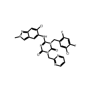 Cn1cc2cc(Nc3nc(=O)n(Cc4ncccn4)c(=O)n3Cc3cc(Cl)c(F)cc3F)c(Cl)cc2n1